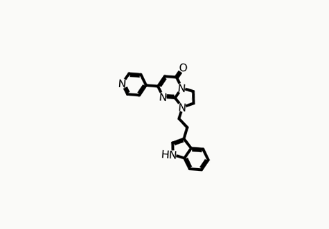 O=c1cc(-c2ccncc2)nc2n1CCN2CCc1c[nH]c2ccccc12